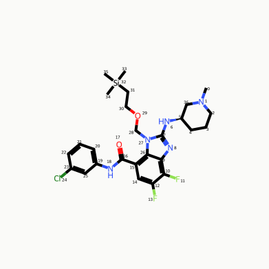 CN1CCC[C@@H](Nc2nc3c(F)c(F)cc(C(=O)Nc4cccc(Cl)c4)c3n2COCC[Si](C)(C)C)C1